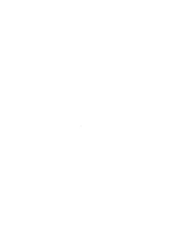 ClC1=CC=CCN1Cc1ccccc1